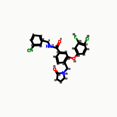 O=C(NCc1cccc(Cl)c1)c1ccc(CN2CCCC2=O)c(Oc2ccc(Cl)c(F)c2)c1